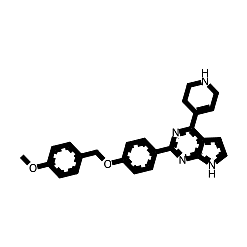 COc1ccc(COc2ccc(-c3nc(C4=CCNCC4)c4cc[nH]c4n3)cc2)cc1